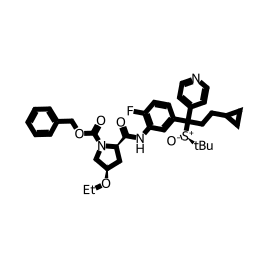 CCO[C@@H]1C[C@H](C(=O)Nc2cc(C(CCC3CC3)(c3ccncc3)[S@+]([O-])C(C)(C)C)ccc2F)N(C(=O)OCc2ccccc2)C1